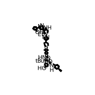 C#Cc1ccc(CNC(=O)[C@@H]2C[C@@H](O)CN2C(=O)[C@@H](NC(=O)N2CC3(CC(N4CCC(c5cnc(N6CCc7[nH]c8nnc(-c9ccccc9O)cc8c7[C@H]6CC)nc5)CC4)C3)C2)C(C)(C)C)cc1